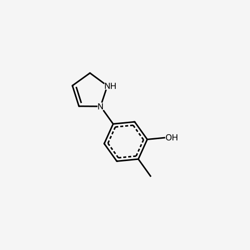 Cc1ccc(N2C=CCN2)cc1O